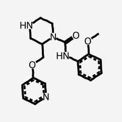 COc1ccccc1NC(=O)N1CCNCC1COc1cccnc1